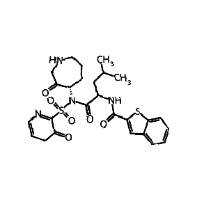 CC(C)CC(NC(=O)c1cc2ccccc2s1)C(=O)N([C@H]1CCCNCC1=O)S(=O)(=O)C1=NC=CCC1=O